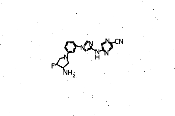 N#Cc1cnc(Nc2cn(-c3cccc(N4C[C@@H](N)[C@@H](F)C4)c3)cn2)cn1